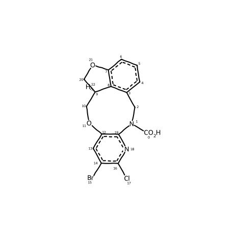 O=C(O)N1Cc2cccc3c2[C@@H](COc2cc(Br)c(Cl)nc21)CO3